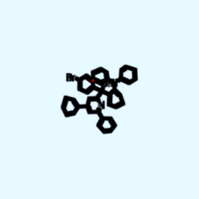 OC(c1ccc(Br)cc1)(c1cc(-c2ccccc2)cc(-c2ccccc2)n1)c1ccccc1N(c1ccccc1)c1ccccc1